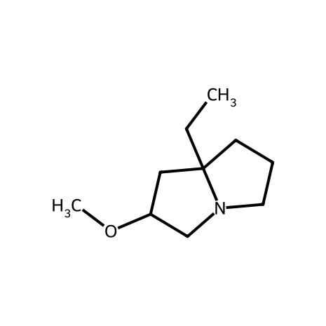 CCC12CCCN1CC(OC)C2